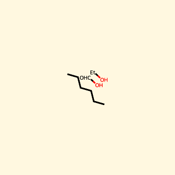 CCCCCC.CCO.O=CO